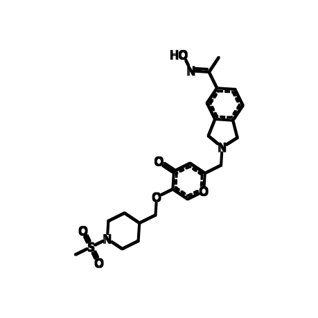 CC(=NO)c1ccc2c(c1)CN(Cc1cc(=O)c(OCC3CCN(S(C)(=O)=O)CC3)co1)C2